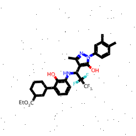 CCOC(=O)C1CCCC(c2cccc(NC(c3c(C)nn(-c4ccc(C)c(C)c4)c3O)C(F)(F)C(F)(F)F)c2O)C1